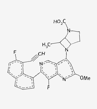 C#Cc1c(F)ccc2cccc(-c3ncc4c(N5C(C)C6C5CCN6C(=O)O)cc(OC)nc4c3F)c12